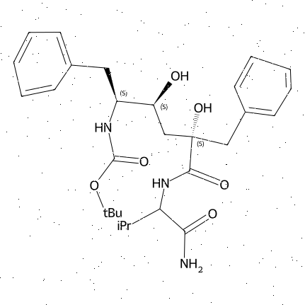 CC(C)C(NC(=O)[C@](O)(Cc1ccccc1)C[C@H](O)[C@H](Cc1ccccc1)NC(=O)OC(C)(C)C)C(N)=O